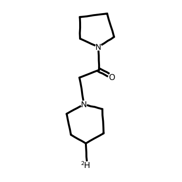 [2H]C1CCN(CC(=O)N2CCCC2)CC1